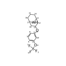 FC(F)(F)Oc1cccc(OC2CC3CCCC(C2)N3)c1